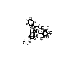 C=C(c1c(F)c(F)c(F)c(F)c1F)N1CCc2c([nH]c3c2=CCCC=3)C1c1ccc(C)cc1